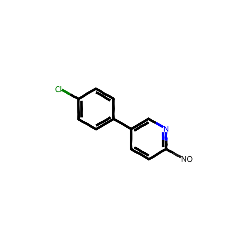 O=Nc1ccc(-c2ccc(Cl)cc2)cn1